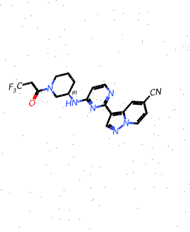 N#Cc1ccn2ncc(-c3nccc(N[C@@H]4CCCN(C(=O)CC(F)(F)F)C4)n3)c2c1